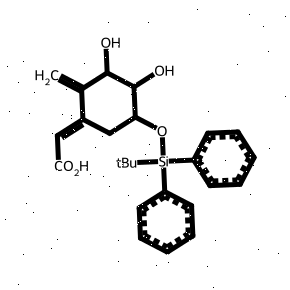 C=C1/C(=C/C(=O)O)CC(O[Si](c2ccccc2)(c2ccccc2)C(C)(C)C)C(O)C1O